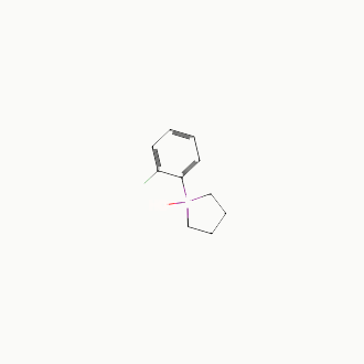 O[P]1(c2ccccc2F)CCCC1